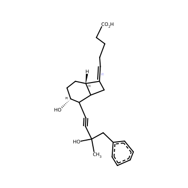 CC(O)(C#CC1C2C/C(=C/CCCC(=O)O)[C@H]2CC[C@H]1O)Cc1ccccc1